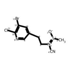 CS([O-])=[N+](C#N)CCc1cnc(Cl)c(Br)c1